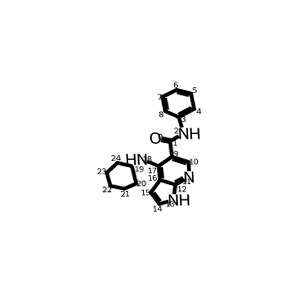 O=C(Nc1ccccc1)c1cnc2[nH]ccc2c1NC1CCCCC1